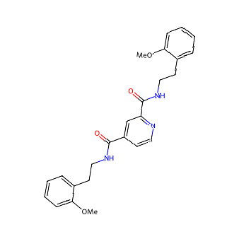 COc1ccccc1CCNC(=O)c1ccnc(C(=O)NCCc2ccccc2OC)c1